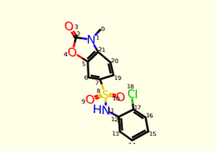 Cn1c(=O)oc2cc(S(=O)(=O)Nc3ccccc3Cl)ccc21